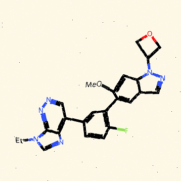 CCn1cnc2c(-c3ccc(F)c(C4=CC5C=NN(C6COC6)C5C=C4OC)c3)cnnc21